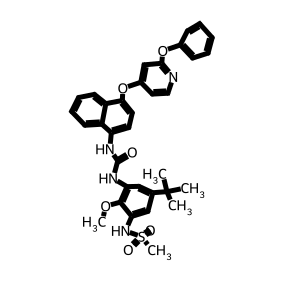 COc1c(NC(=O)Nc2ccc(Oc3ccnc(Oc4ccccc4)c3)c3ccccc23)cc(C(C)(C)C)cc1NS(C)(=O)=O